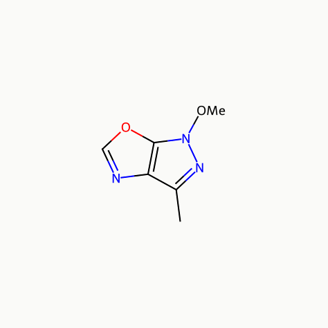 COn1nc(C)c2ncoc21